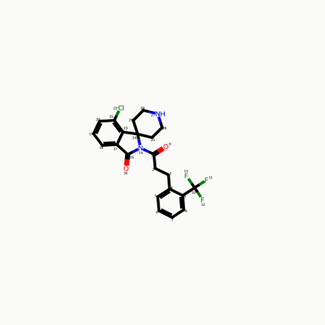 O=C(CCc1ccccc1C(F)(F)F)N1C(=O)c2cccc(Cl)c2C12CCNCC2